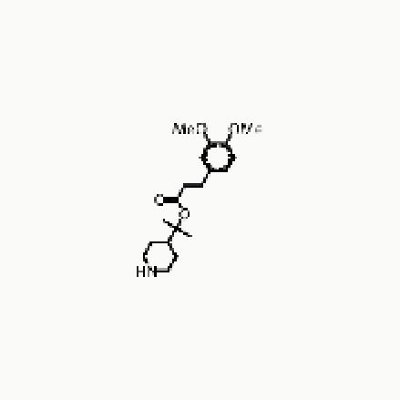 COc1ccc(CCC(=O)OC(C)(C)C2CCNCC2)cc1OC